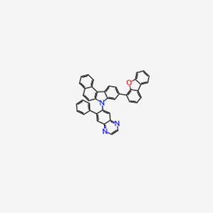 c1ccc(-c2cc3nccnc3cc2-n2c3cc(-c4cccc5c4oc4ccccc45)ccc3c3c4ccccc4ccc32)cc1